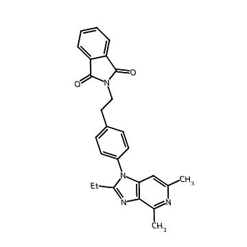 CCc1nc2c(C)nc(C)cc2n1-c1ccc(CCN2C(=O)c3ccccc3C2=O)cc1